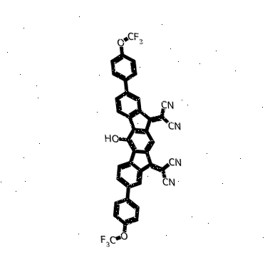 N#CC(C#N)=C1c2cc(-c3ccc(OC(F)(F)F)cc3)ccc2-c2c1cc1c(c2O)-c2ccc(-c3ccc(OC(F)(F)F)cc3)cc2C1=C(C#N)C#N